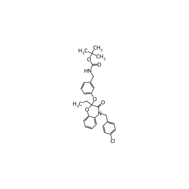 CCC1(Oc2cccc(CNC(=O)OC(C)(C)C)c2)Oc2ccccc2N(Cc2ccc(Cl)cc2)C1=O